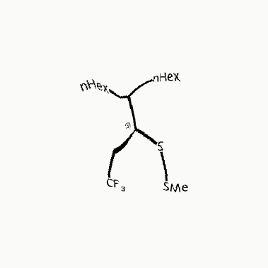 CCCCCCC(CCCCCC)[C@H](CC(F)(F)F)SSC